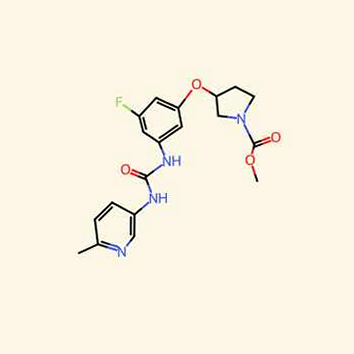 COC(=O)N1CCC(Oc2cc(F)cc(NC(=O)Nc3ccc(C)nc3)c2)C1